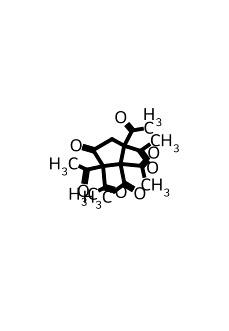 CC(=O)C1(C(C)=O)CC(=O)C(C(C)=O)(C(C)=O)C1(C(C)=O)C(C)=O